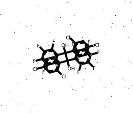 OC(c1ccc(Cl)cc1Cl)(c1c(F)c(F)c(F)c(F)c1F)C(O)(c1ccc(Cl)cc1Cl)c1c(F)c(F)c(F)c(F)c1F